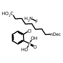 CCCCCCCCCCCCCCCCCC(=O)O.NF.O=P(O)(O)c1ccccc1Cl